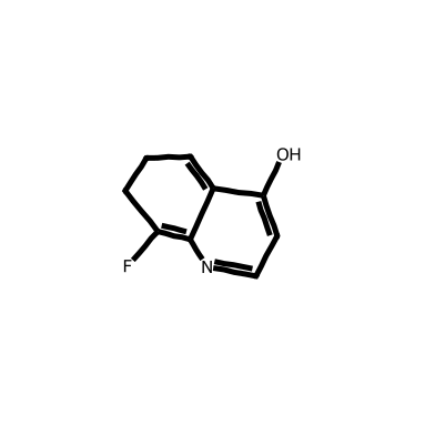 Oc1ccnc2c1=CCCC=2F